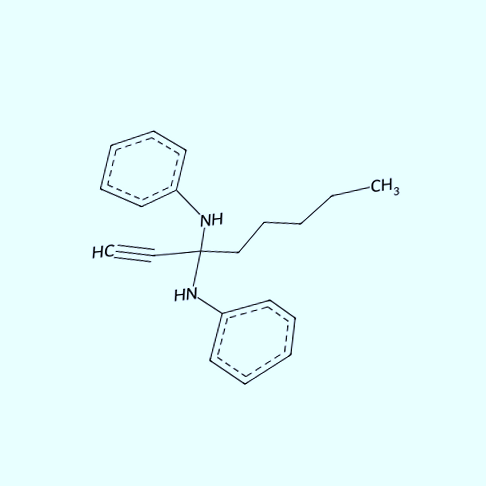 C#CC(CCCCC)(Nc1ccccc1)Nc1ccccc1